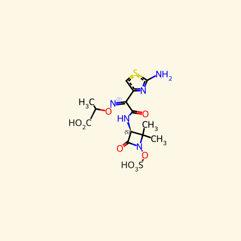 CC(O/N=C(\C(=O)N[C@@H]1C(=O)N(OS(=O)(=O)O)C1(C)C)c1csc(N)n1)C(=O)O